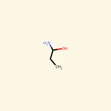 [CH2]CC(N)O